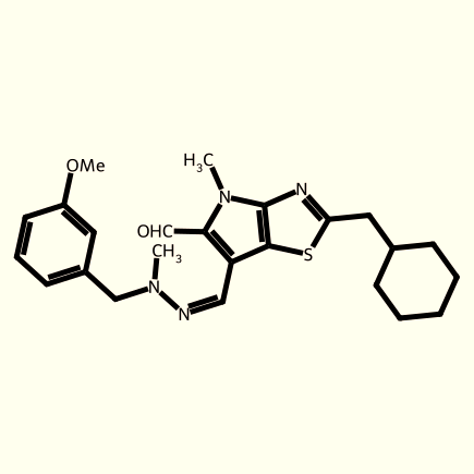 COc1cccc(CN(C)/N=C\c2c(C=O)n(C)c3nc(CC4CCCCC4)sc23)c1